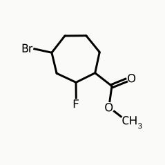 COC(=O)C1CCCC(Br)CC1F